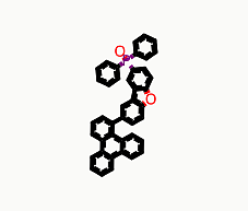 O=P(c1ccccc1)(c1ccccc1)c1ccc2oc3ccc(-c4cccc5c6ccccc6c6ccccc6c45)cc3c2c1